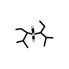 CCC(C(C)C)S(=O)(=O)C(CC)C(C)C